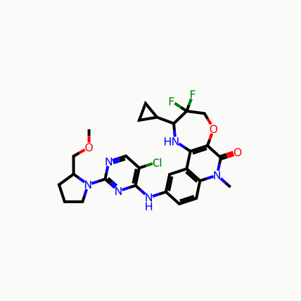 COCC1CCCN1c1ncc(Cl)c(Nc2ccc3c(c2)c2c(c(=O)n3C)OCC(F)(F)C(C3CC3)N2)n1